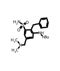 CCCCNc1cc(CN(C)C)cc(S(N)(=O)=O)c1Cc1ccccc1